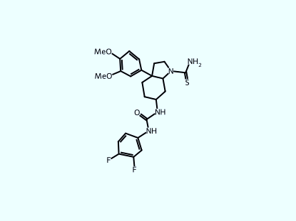 COc1ccc(C23CCC(NC(=O)Nc4ccc(F)c(F)c4)CC2N(C(N)=S)CC3)cc1OC